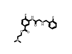 CN(C)CCOC(=O)c1ccc(F)c(NC(=O)CNCc2ccccc2F)c1